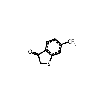 O=C1CSc2cc(C(F)(F)F)ccc21